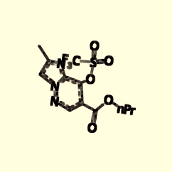 CCCOC(=O)c1cnn2cc(C)nc2c1OS(=O)(=O)C(F)(F)F